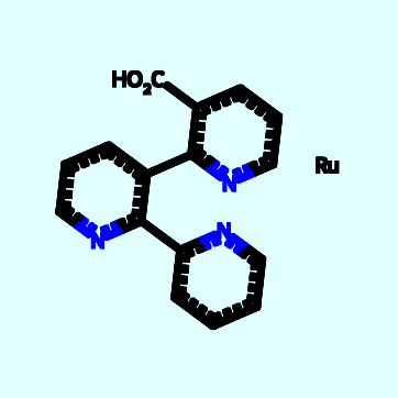 O=C(O)c1cccnc1-c1cccnc1-c1ccccn1.[Ru]